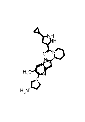 Cc1cn2nc([C@@H]3CCCCN3C(=O)C3CC(C4CC4)NN3)cc2nc1N1CC[C@H](N)C1